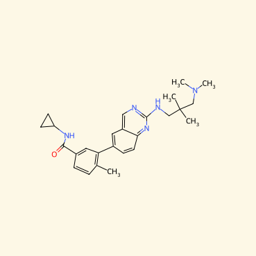 Cc1ccc(C(=O)NC2CC2)cc1-c1ccc2nc(NCC(C)(C)CN(C)C)ncc2c1